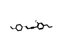 CCCc1ccc(C#CC=C[C@H]2CC[C@H](CC)CC2)c(F)c1